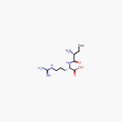 N=C(N)NCCC[C@H](NC(=O)[C@@H](N)C[SeH])C(=O)O